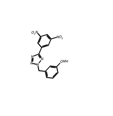 COc1cccc(Cn2nnc(-c3cc([N+](=O)[O-])cc([N+](=O)[O-])c3)n2)c1